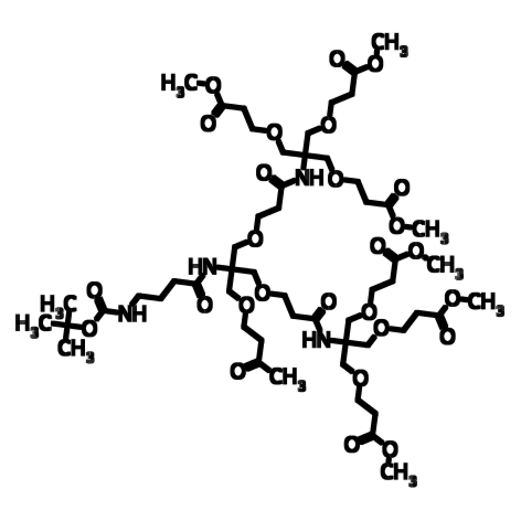 COC(=O)CCOCC(COCCC(=O)OC)(COCCC(=O)OC)NC(=O)CCOCC(COCCC(C)=O)(COCCC(=O)NC(COCCC(=O)OC)(COCCC(=O)OC)COCCC(=O)OC)NC(=O)CCCNC(=O)OC(C)(C)C